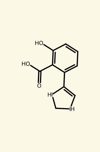 O=C(O)c1c(O)cccc1C1=C[IH]C[IH]1